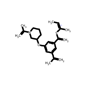 C=C(C)c1cc(OC2CCCN(C(=C)C)C2)cc(C(=C)S/C(C)=C\C)c1